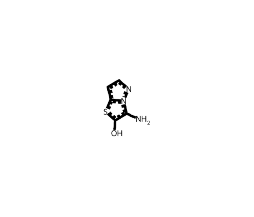 Nc1c(O)sc2ccnn12